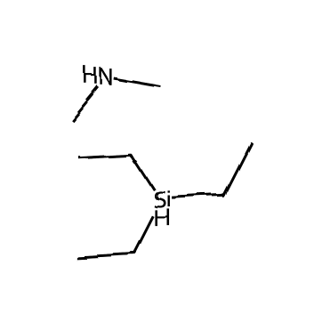 CC[SiH](CC)CC.CNC